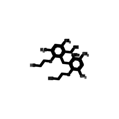 COc1c(C)cc(C)c(OCCO)c1Cc1c(CO)c(C)cc(C)c1OCCO